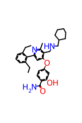 CCc1cccc(CC)c1-c1cc(Oc2ccc(C(N)=O)c(O)c2)c(CNCC2CCCCC2)c(C)n1